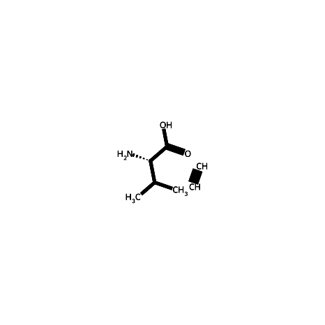 C#C.CC(C)[C@H](N)C(=O)O